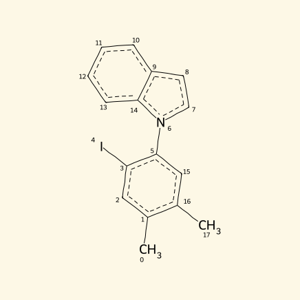 Cc1cc(I)c(-n2ccc3ccccc32)cc1C